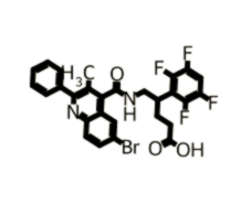 Cc1c(-c2ccccc2)nc2ccc(Br)cc2c1C(=O)NCC(CCC(=O)O)c1c(F)c(F)cc(F)c1F